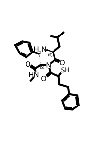 CNC(=O)[C@H](Cc1ccccc1)N(C(=O)C(S)CCc1ccccc1)C(=O)[C@@H](N)CC(C)C